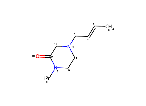 CC=CCN1CCN(C(C)C)C(=O)C1